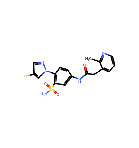 Cc1ncccc1CC(=O)Nc1ccc(-n2cc(F)cn2)c(S(N)(=O)=O)c1